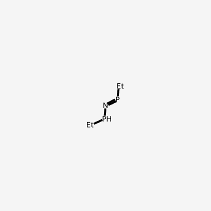 CCP=NPCC